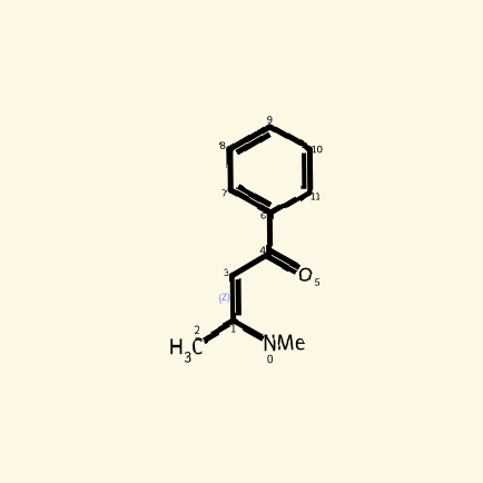 CN/C(C)=C\C(=O)c1ccccc1